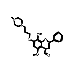 COc1cc(OCCCN2CCN(C)CC2)c(OC)c2c1C(C=O)C=C(c1ccccc1)O2